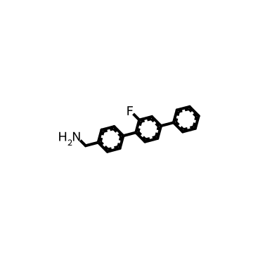 NCc1ccc(-c2ccc(-c3ccccc3)cc2F)cc1